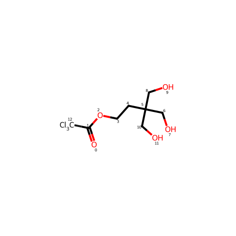 O=C(OCCC(CO)(CO)CO)C(Cl)(Cl)Cl